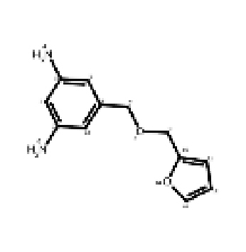 Nc1cc(N)cc(COCc2ccco2)c1